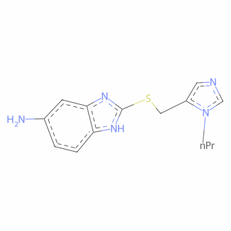 CCCn1cncc1CSc1nc2cc(N)ccc2[nH]1